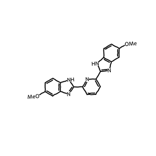 COc1ccc2[nH]c(-c3cccc(-c4nc5cc(OC)ccc5[nH]4)n3)nc2c1